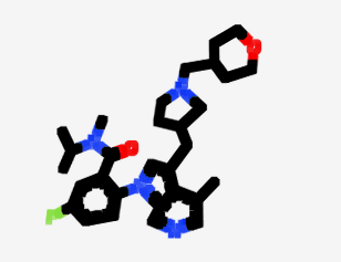 Cc1cncc2c1c(CC1CCN(CC3CCOCC3)C1)cn2-c1ccc(F)cc1C(=O)N(C)C(C)C